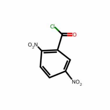 O=C(Cl)c1cc([N+](=O)[O-])ccc1[N+](=O)[O-]